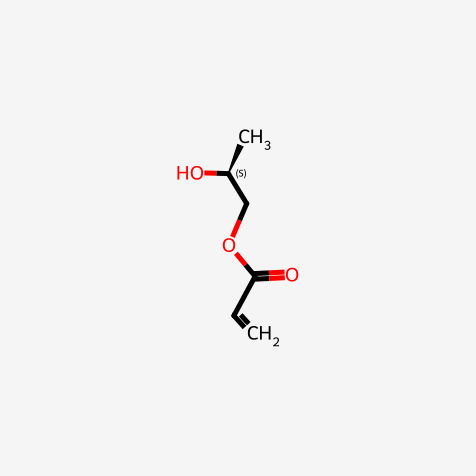 C=CC(=O)OC[C@H](C)O